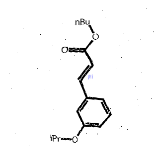 CCCCOC(=O)/C=C/c1cccc(OC(C)C)c1